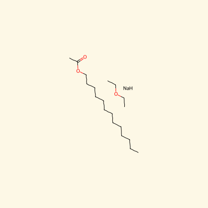 CCCCCCCCCCCCCOC(C)=O.CCOCC.[NaH]